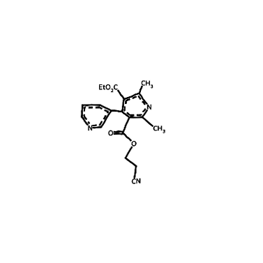 CCOC(=O)c1c(C)nc(C)c(C(=O)OCCC#N)c1-c1cccnc1